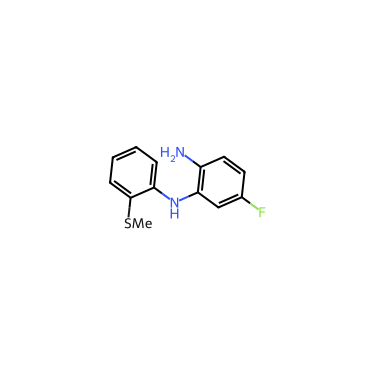 CSc1ccccc1Nc1cc(F)ccc1N